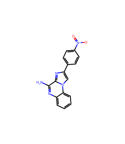 Nc1nc2ccccc2n2cc(-c3ccc([N+](=O)[O-])cc3)nc12